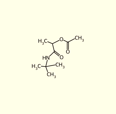 CC(=O)OC(C)C(=O)NC(C)(C)C